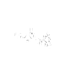 [2H]N(CCc1c[nH]c2cc(OC(F)(F)F)ccc12)c1nc(Cl)nc2scnc12